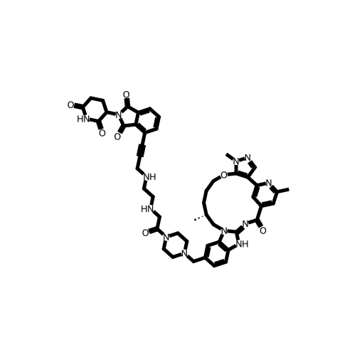 Cc1cc2cc(n1)-c1cnn(C)c1OCCC[C@@H](C)CN1/C(=N/C2=O)Nc2ccc(CN3CCN(C(=O)CNCCNCC#Cc4cccc5c4C(=O)N(C4CCC(=O)NC4=O)C5=O)CC3)cc21